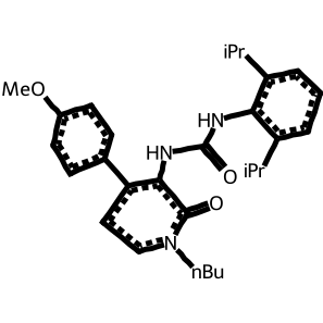 CCCCn1ccc(-c2ccc(OC)cc2)c(NC(=O)Nc2c(C(C)C)cccc2C(C)C)c1=O